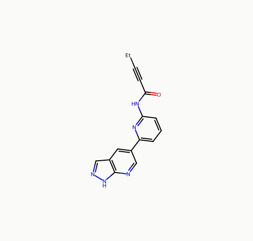 CCC#CC(=O)Nc1cccc(-c2cnc3[nH]ncc3c2)n1